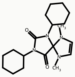 CN1C=CN(C)C12C(=O)N(C1CCCCC1)C(=O)N2C1CCCCC1